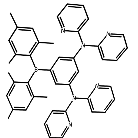 Cc1cc(C)c(B(c2cc(N(c3ccccn3)c3ccccn3)cc(N(c3ccccn3)c3ccccn3)c2)c2c(C)cc(C)cc2C)c(C)c1